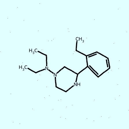 CCc1ccccc1C1CN(N(CC)CC)CCN1